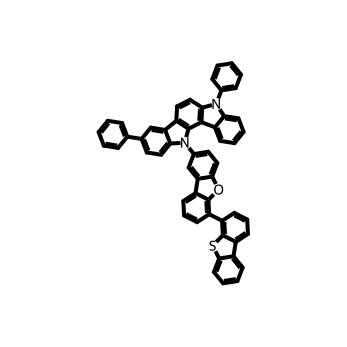 c1ccc(-c2ccc3c(c2)c2ccc4c(c5ccccc5n4-c4ccccc4)c2n3-c2ccc3oc4c(-c5cccc6c5sc5ccccc56)cccc4c3c2)cc1